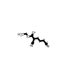 CCOC(=O)C(C#N)CCCC#N